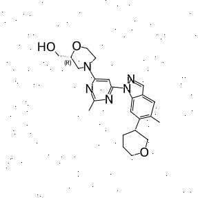 Cc1nc(N2CCO[C@@H](CO)C2)cc(-n2ncc3cc(C)c(C4CCCOC4)cc32)n1